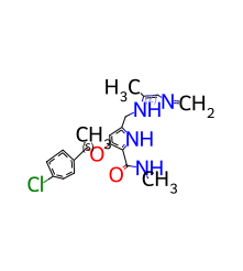 C=N/C=C(/C)NCc1cc(O[C@@H](C)c2ccc(Cl)cc2)c(C(=O)NC)[nH]1